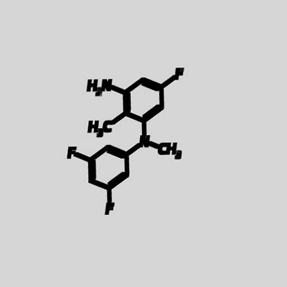 Cc1c(N)cc(F)cc1N(C)c1cc(F)cc(F)c1